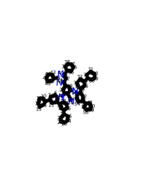 N#Cc1c(-n2c3ccc(-c4ccccc4)cc3c3cc(-c4ccccc4)ccc32)cc(-c2cc(-c3ccccc3)nc(-c3ccccc3)n2)cc1-n1c2ccc(-c3ccccc3)cc2c2cc(C3C=CC=CC3)ccc21